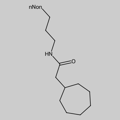 CCCCCCCCCCCCNC(=O)CC1CCCCCC1